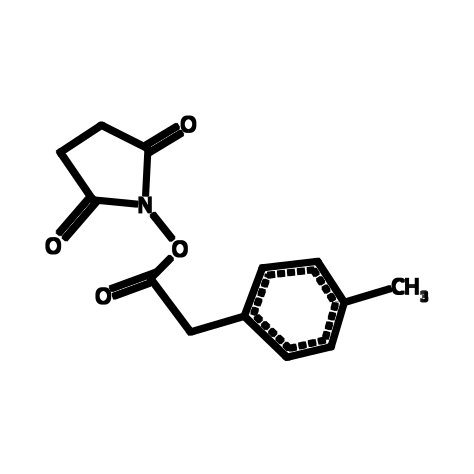 Cc1ccc(CC(=O)ON2C(=O)CCC2=O)cc1